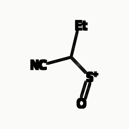 CCC(C#N)[S+]=O